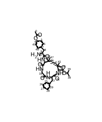 CC(=O)Oc1ccc(CC(N)C(=O)NC2C(=O)NCC(=O)NC(Cc3ccccc3)C(=O)NC(C(=O)OC(C)C)C(C)(C)SSC2(C)C)cc1